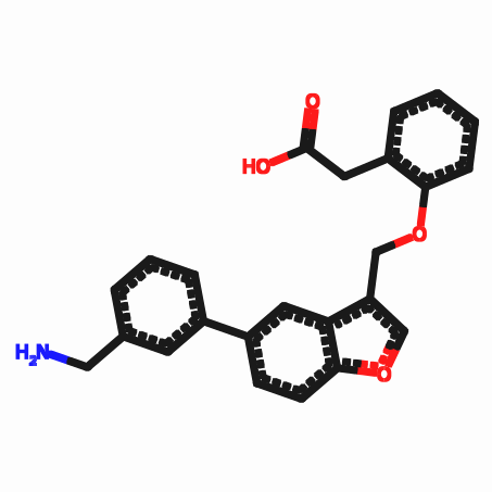 NCc1cccc(-c2ccc3occ(COc4ccccc4CC(=O)O)c3c2)c1